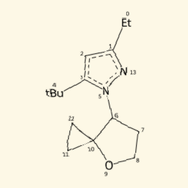 CCc1cc(C(C)(C)C)n(C2CCOC23CC3)n1